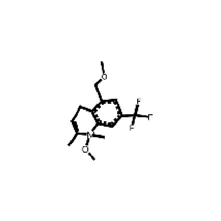 COCc1cc(C(F)(F)F)cc2c1[CH]C=C(C)[N+]2(C)OC